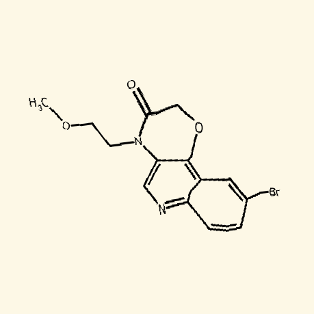 COCCN1C(=O)COc2c1cnc1ccc(Br)cc21